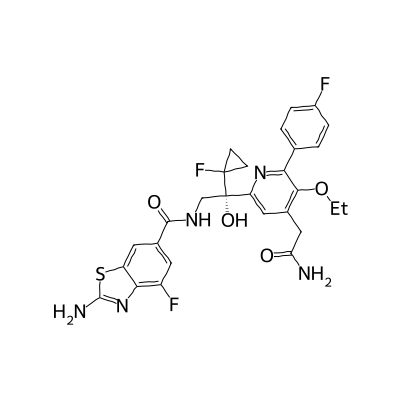 CCOc1c(CC(N)=O)cc([C@@](O)(CNC(=O)c2cc(F)c3nc(N)sc3c2)C2(F)CC2)nc1-c1ccc(F)cc1